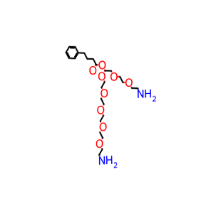 NCCOCCOCCOCCOCCOC(COCCOCCN)OC(=O)CCCc1ccccc1